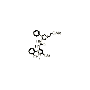 COCCN1C[C@H](NC(=O)Nc2cc(C(C)(C)C)nn2-c2ccccc2C)[C@@H](c2ccccc2)C1